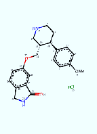 COc1ccc([C@@H]2CCNC[C@H]2COc2ccc3c(c2)C(=O)NC3)cc1.Cl